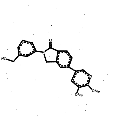 COc1cc(-c2ccc3c(c2)CN(c2cccc(CC#N)c2)C3=O)cnc1OC